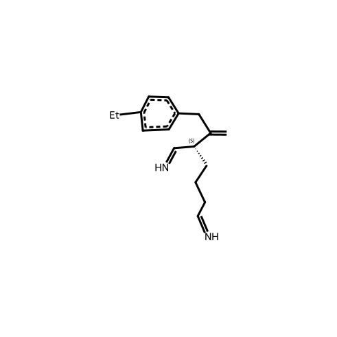 C=C(Cc1ccc(CC)cc1)[C@@H](C=N)CCCC=N